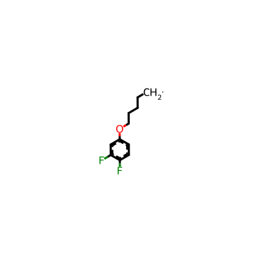 [CH2]CCCCOc1ccc(F)c(F)c1